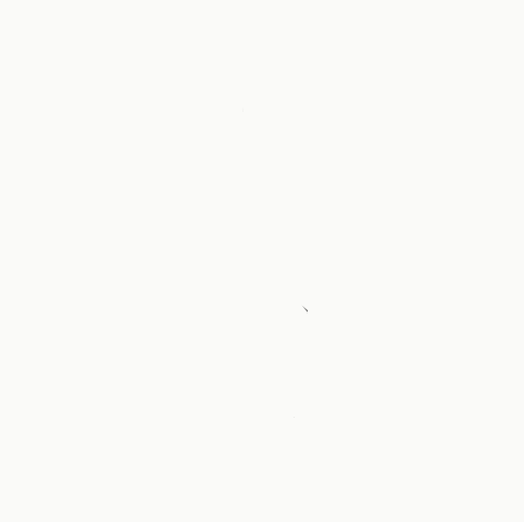 CCCC/C=C/[C@H]1CC[C@H](C2CCC(OCCC)CC2)CC1